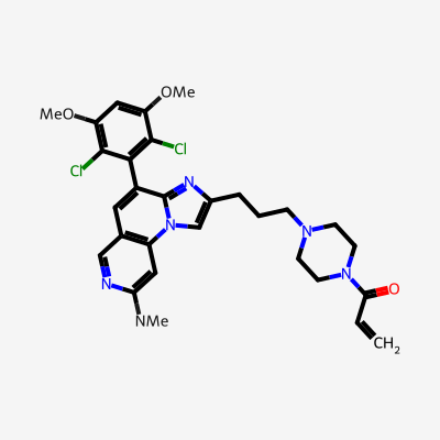 C=CC(=O)N1CCN(CCCc2cn3c(n2)c(-c2c(Cl)c(OC)cc(OC)c2Cl)cc2cnc(NC)cc23)CC1